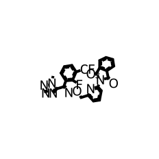 Cn1nnnc1C(=NOCc1cccc(N2C(=O)c3ccccc3C2=O)n1)c1cccc(C(F)(F)F)c1F